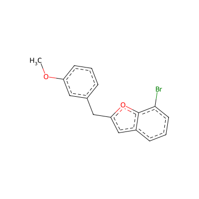 COc1cccc(Cc2cc3cccc(Br)c3o2)c1